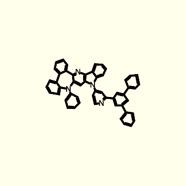 c1ccc(-c2cc(-c3ccccc3)cc(-c3cc(-n4c5ccccc5c5nc6c(cc54)N(c4ccccc4)c4ccccc4-c4ccccc4-6)ccn3)c2)cc1